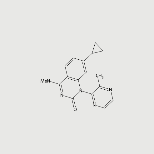 CNc1nc(=O)n(-c2nccnc2C)c2cc(C3CC3)ccc12